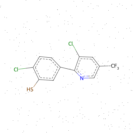 FC(F)(F)c1cnc(-c2ccc(Cl)c(S)c2)c(Cl)c1